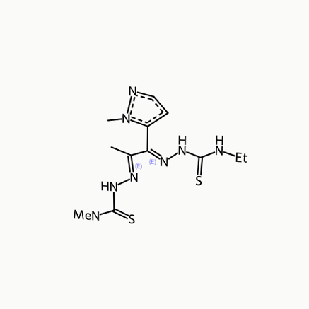 CCNC(=S)N/N=C(/C(C)=N/NC(=S)NC)c1ccnn1C